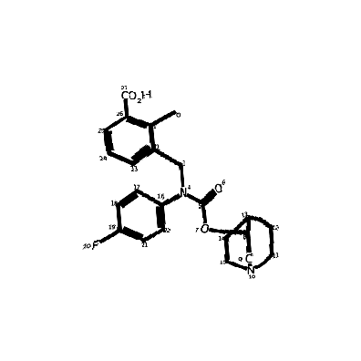 Cc1c(CN(C(=O)OC2CN3CCC2CC3)c2ccc(F)cc2)cccc1C(=O)O